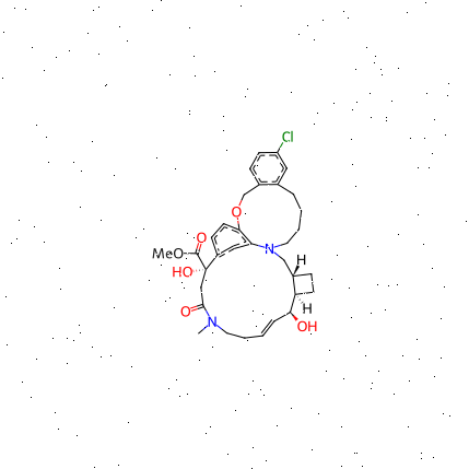 COC(=O)[C@]1(O)CC(=O)N(C)CC/C=C/[C@H](O)[C@@H]2CC[C@H]2CN2CCCCc3cc(Cl)ccc3COc3ccc1cc32